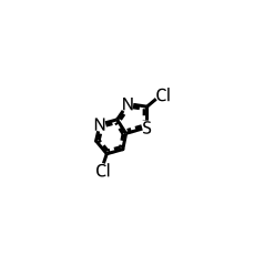 Clc1cnc2nc(Cl)sc2c1